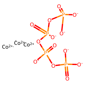 O=P([O-])([O-])OP(=O)([O-])OP(=O)([O-])OP(=O)([O-])[O-].[Co+2].[Co+2].[Co+2]